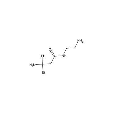 CCC(N)(CC)CC(=O)NCCN